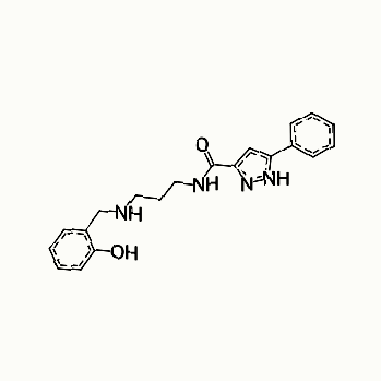 O=C(NCCCNCc1ccccc1O)c1cc(-c2ccccc2)[nH]n1